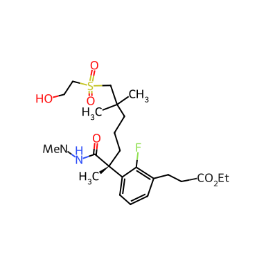 CCOC(=O)CCc1cccc([C@@](C)(CCCC(C)(C)CS(=O)(=O)CCO)C(=O)NNC)c1F